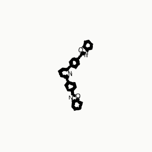 c1cc(-c2ccc(-c3nc4ccccc4o3)cc2)nc(-c2ccc(-c3nc4ccccc4o3)cc2)c1